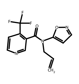 C=CCN(C(=O)c1cnccc1C(F)(F)F)c1ccno1